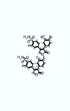 NS(=O)(=O)c1ccc(C2=C(c3ccc(Br)c(Br)c3)C(=O)OC2)cc1F.NS(=O)(=O)c1ccc(C2=C(c3ccc(F)c(F)c3)C(=O)OC2)cc1F